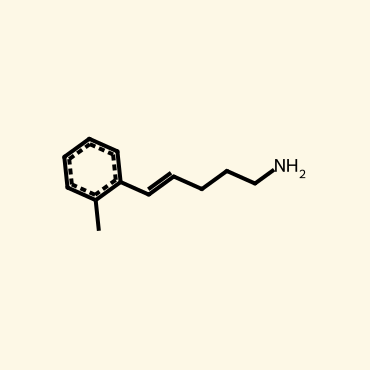 Cc1ccccc1C=CCCCN